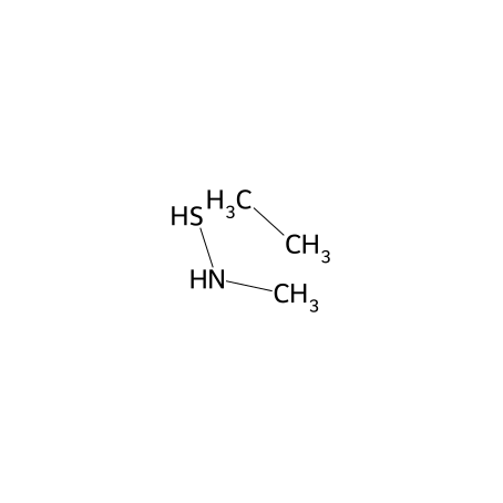 CC.CNS